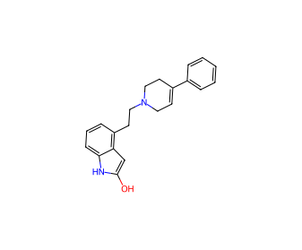 Oc1cc2c(CCN3CC=C(c4ccccc4)CC3)cccc2[nH]1